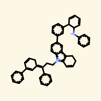 C1=CC(Nc2ccccc2)C(c2cccc(-c3ccc4c(c3)c3c(n4CC/C(=C4/C=C(c5ccccc5)C=CC4)c4ccccc4)C=CCC3)c2)C=C1